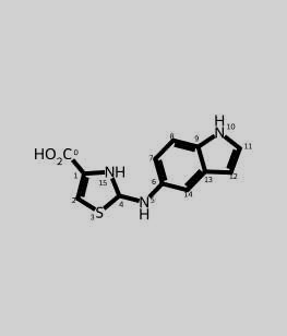 O=C(O)C1=CSC(Nc2ccc3[nH]ccc3c2)N1